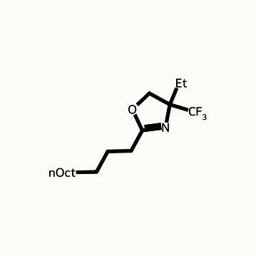 CCCCCCCCCCCC1=NC(CC)(C(F)(F)F)CO1